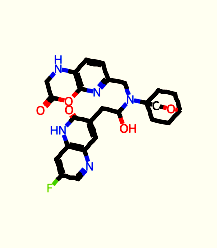 O=C1CNc2ccc(CN(C(O)Cc3cc4ncc(F)cc4[nH]c3=O)C34CCC(CC3)OC4)nc2O1